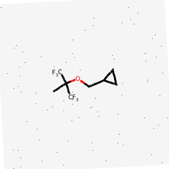 CC(OCC1CC1)(C(F)(F)F)C(F)(F)F